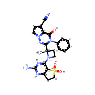 C[C@@]1(c2nn3ccc(C#N)c3c(=O)n2-c2ccccc2)CCN1c1nc(N)nc2c1S(=O)(=O)CC2